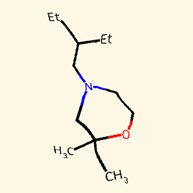 CCC(CC)CN1CCOC(C)(C)C1